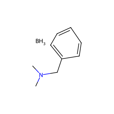 B.CN(C)Cc1ccccc1